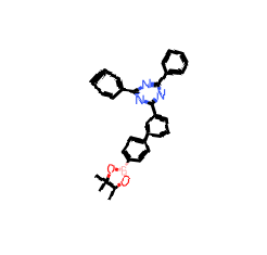 CC1OB(c2ccc(-c3cccc(-c4nc(-c5ccccc5)nc(-c5ccccc5)n4)c3)cc2)OC1(C)C